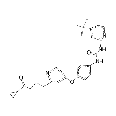 CC(F)(F)c1ccnc(NC(=O)Nc2ccc(Oc3ccnc(CCCC(=O)C4CC4)c3)cc2)c1